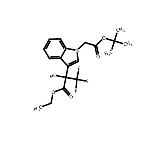 CCOC(=O)C(O)(c1cn(CC(=O)OC(C)(C)C)c2ccccc12)C(F)(F)F